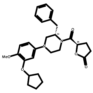 COc1ccc(N2CCN(C(=O)[C@H]3CCC(=O)O3)[C@@H](Cc3ccccc3)C2)cc1OC1CCCC1